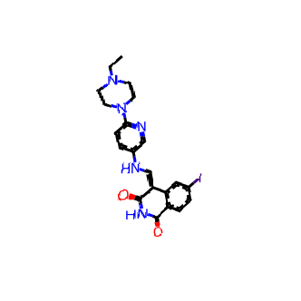 CCN1CCN(c2ccc(N/C=C3\C(=O)NC(=O)c4ccc(I)cc43)cn2)CC1